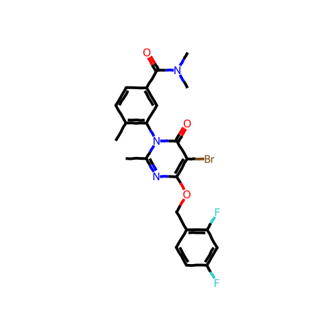 Cc1ccc(C(=O)N(C)C)cc1-n1c(C)nc(OCc2ccc(F)cc2F)c(Br)c1=O